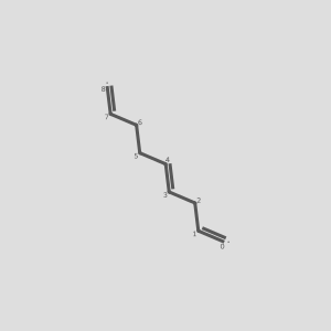 [CH]=CCC=CCCC=[CH]